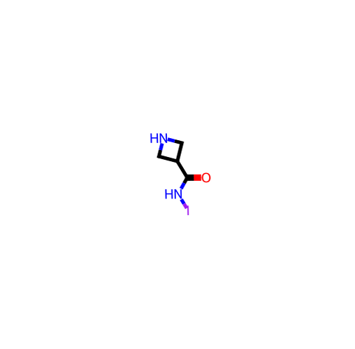 O=C(NI)C1CNC1